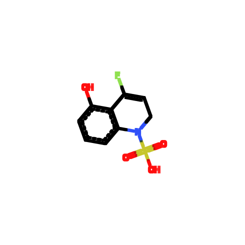 O=S(=O)(O)N1CC=C(F)c2c(O)cccc21